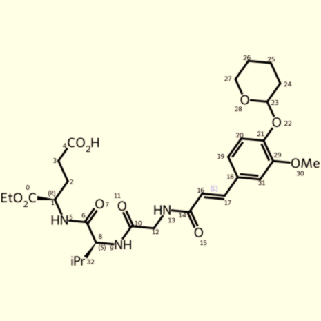 CCOC(=O)[C@@H](CCC(=O)O)NC(=O)[C@@H](NC(=O)CNC(=O)/C=C/c1ccc(OC2CCCCO2)c(OC)c1)C(C)C